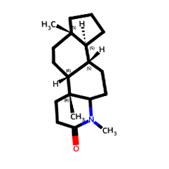 CN1C(=O)CC[C@@]2(C)C1CC[C@@H]1[C@H]2CC[C@]2(C)CCC[C@@H]12